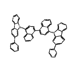 c1ccc(-c2ccc3c4ccccc4n(-c4ccc(-c5ccc(-n6c7ccccc7c7ccc(-c8ccccc8)cc76)c6ccccc56)c5ccccc45)c3c2)cc1